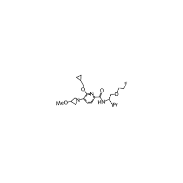 COC1CN(c2ccc(C(=O)NC(COCCF)C(C)C)nc2OCC2CC2)C1